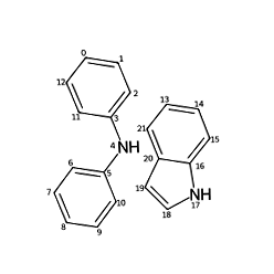 c1ccc(Nc2ccccc2)cc1.c1ccc2[nH]ccc2c1